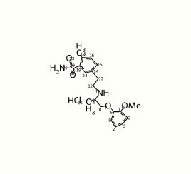 COc1ccccc1OCC(C)NCCc1ccc(C)c(S(N)(=O)=O)c1.Cl